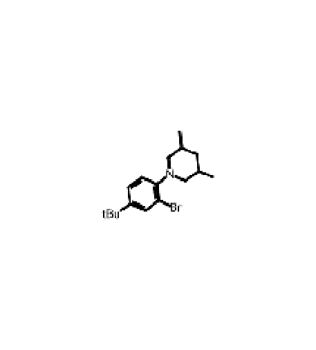 CC1CC(C)CN(c2ccc(C(C)(C)C)cc2Br)C1